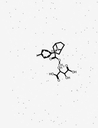 COC(=O)C1(c2ccc(I)cc2)CC2CCC(C1)N2C.O=C(O)C(O)C(O)C(=O)O